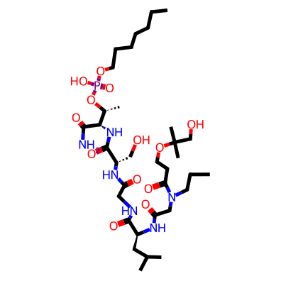 CCCCCCCOP(=O)(O)O[C@H](C)[C@H](NC(=O)[C@H](CO)NC(=O)CNC(=O)[C@H](CC(C)C)NC(=O)CN(CCC)C(=O)CCOC(C)(C)CO)C(N)=O